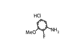 COc1cccc(N)c1F.Cl